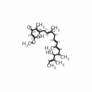 C/C=C(\C)C(O)C(C)/C=C(C)/C=C/C/C(C)=C/Cc1[nH]c(OC)cc(=O)c1C